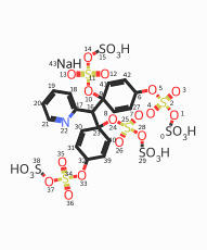 O=S(=O)(O)OS(=O)(=O)OC1C=CC(OS(=O)(=O)OS(=O)(=O)O)(C(c2ccccn2)C2(OS(=O)(=O)OS(=O)(=O)O)C=CC(OS(=O)(=O)OS(=O)(=O)O)C=C2)C=C1.[NaH]